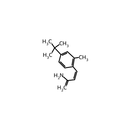 C=C(N)/C=C\c1ccc(C(C)(C)C)cc1C